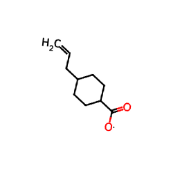 C=CCC1CCC(C([O])=O)CC1